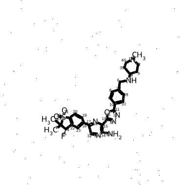 CN1CCC(NCc2ccc(-c3nnc(-c4nc(-c5ccc6c(c5)[C@H](F)C(C)(C)S6(=O)=O)cnc4N)o3)cc2)CC1